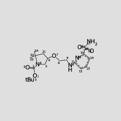 CC(C)(C)OC(=O)N1CC(OCCNc2cccc(S(N)(=O)=O)n2)CC1(C)C